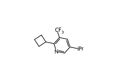 CC(C)c1cnc(C2CCC2)c(C(F)(F)F)c1